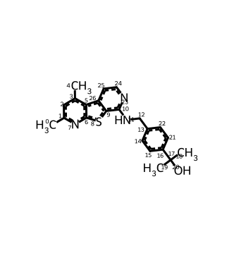 Cc1cc(C)c2c(n1)sc1c(NCc3ccc(C(C)(C)O)cc3)nccc12